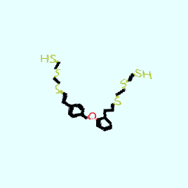 SCCSCCSCCCc1ccccc1OCc1ccc(CCSCCSCCS)cc1